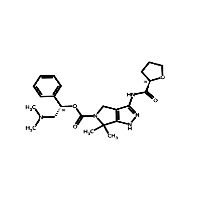 CN(C)C[C@@H](OC(=O)N1Cc2c(NC(=O)[C@H]3CCCO3)n[nH]c2C1(C)C)c1ccccc1